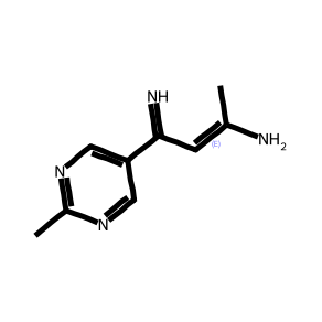 C/C(N)=C\C(=N)c1cnc(C)nc1